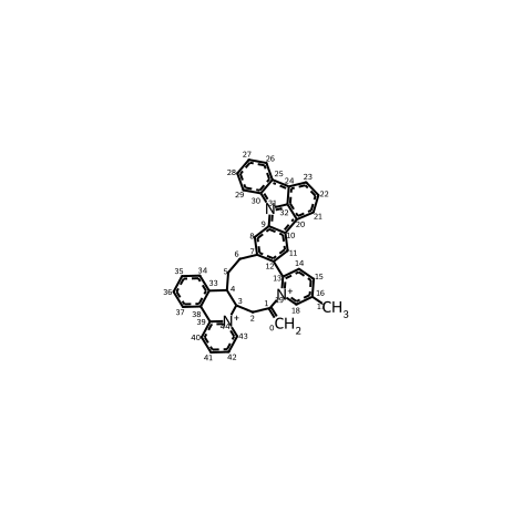 C=C1CC2C(CCc3cc4c(cc3-c3ccc(C)c[n+]31)c1cccc3c5ccccc5n4c31)c1ccccc1-c1cccc[n+]12